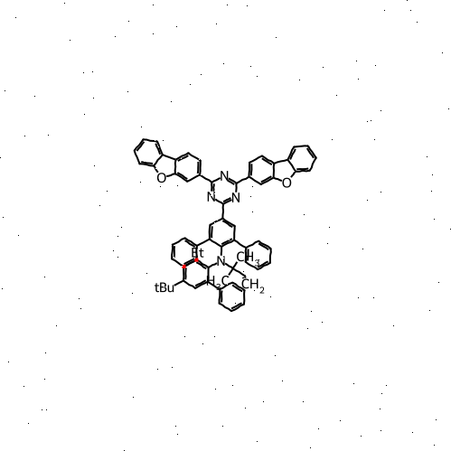 C=CC(C)(C)N(c1c(CC)cc(C(C)(C)C)cc1-c1ccccc1)c1c(-c2ccccc2)cc(-c2nc(-c3ccc4c(c3)oc3ccccc34)nc(-c3ccc4c(c3)oc3ccccc34)n2)cc1-c1ccccc1